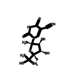 BC(B)(O)[C@@]1(F)O[C@@](B)(n2cc(C#C)c(=O)[nH]c2=S)[C@H](O)[C@@H]1O